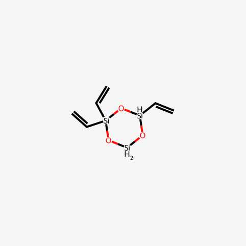 C=C[SiH]1O[SiH2]O[Si](C=C)(C=C)O1